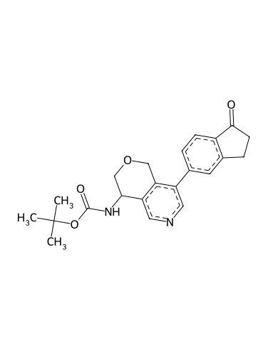 CC(C)(C)OC(=O)NC1COCc2c(-c3ccc4c(c3)CCC4=O)cncc21